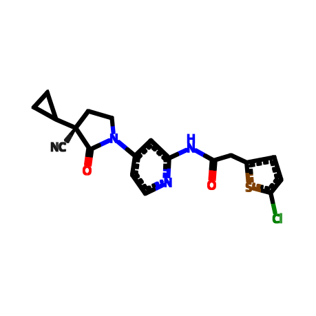 N#C[C@@]1(C2CC2)CCN(c2ccnc(NC(=O)Cc3ccc(Cl)s3)c2)C1=O